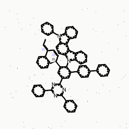 C/C=C(\C=C/[C@H](C)c1cc(-c2nc(-c3ccccc3)nc(-c3ccccc3)n2)cc(-c2ccc(-c3ccccc3)cc2)c1-n1c2ccccc2c2c3c4ccccc4n(-c4ccccc4)c3ccc21)c1ccccc1